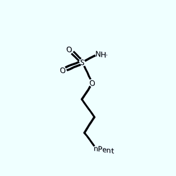 CCCCCCCCOS([NH])(=O)=O